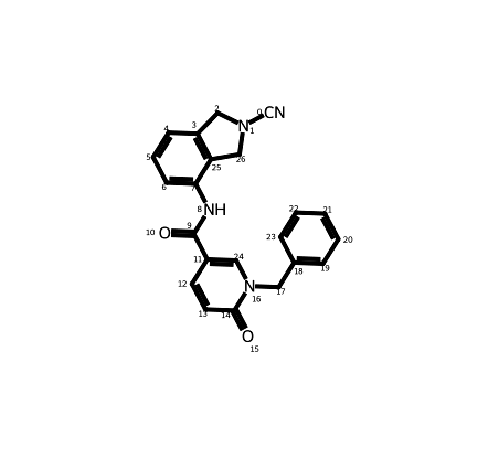 N#CN1Cc2cccc(NC(=O)c3ccc(=O)n(Cc4ccccc4)c3)c2C1